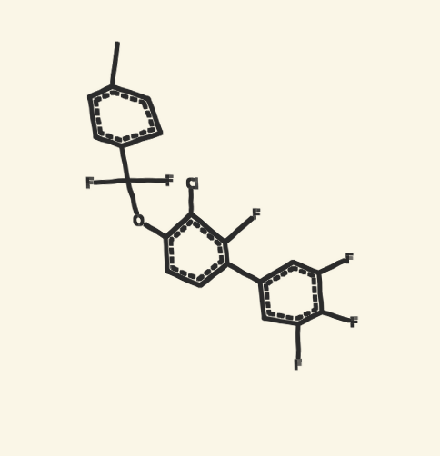 Cc1ccc(C(F)(F)Oc2ccc(-c3cc(F)c(F)c(F)c3)c(F)c2Cl)cc1